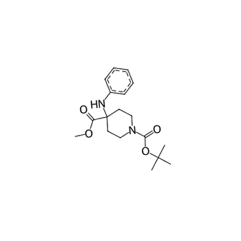 COC(=O)C1(Nc2ccccc2)CCN(C(=O)OC(C)(C)C)CC1